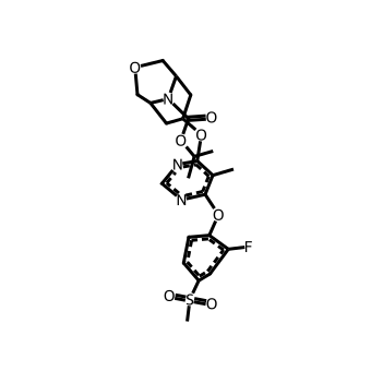 Cc1c(Oc2ccc(S(C)(=O)=O)cc2F)ncnc1OC1CC2COCC(C1)N2C(=O)OC(C)C